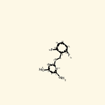 Nc1cc(O)nc(SCc2c(F)cccc2F)n1